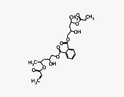 C=CC(=O)OC(C)CC(O)COC(=O)c1ccccc1C(=O)OCC(O)CC(C)OC(=O)C=C